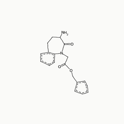 NC1CCc2ccccc2N(CC(=O)OCc2ccccc2)C1=O